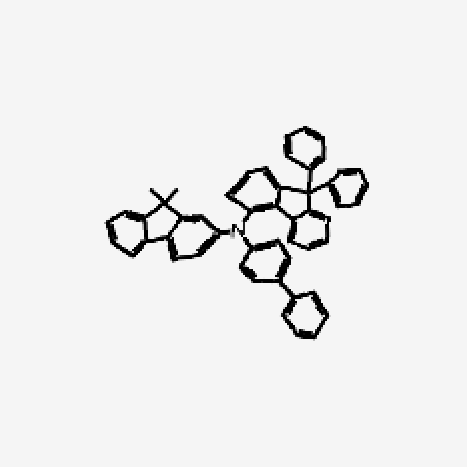 CC1(C)c2ccccc2-c2ccc(N(c3ccc(-c4ccccc4)cc3)c3cccc4c3-c3ccccc3C4(c3ccccc3)c3ccccc3)cc21